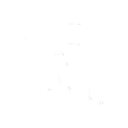 CCN1CCN(C(=O)c2nn(-c3ccccc3)c3c2CCc2occc2-3)CC1